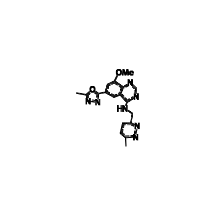 COc1cc(-c2nnc(C)o2)cc2c(NCc3ccc(C)nn3)ncnc12